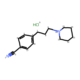 Cl.N#Cc1ccc(CCCN2CCCCC2)cc1